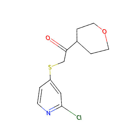 O=C(CSc1ccnc(Cl)c1)C1CCOCC1